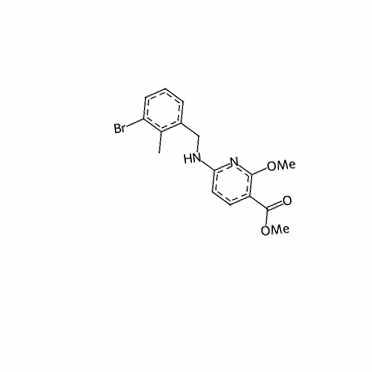 COC(=O)c1ccc(NCc2cccc(Br)c2C)nc1OC